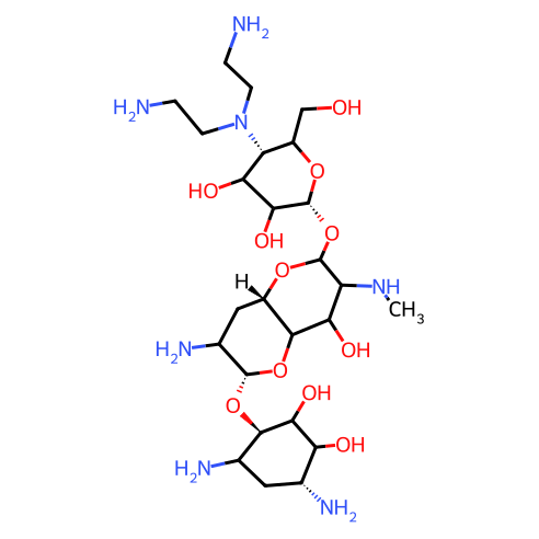 CNC1C(O[C@H]2OC(CO)[C@@H](N(CCN)CCN)C(O)C2O)O[C@H]2CC(N)[C@@H](O[C@@H]3C(N)C[C@@H](N)C(O)C3O)OC2C1O